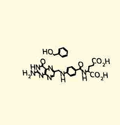 Nc1nc2ncc(CNc3ccc(C(=O)NC(CCC(=O)O)C(=O)O)cc3)nc2c(=O)[nH]1.OCc1ccccc1